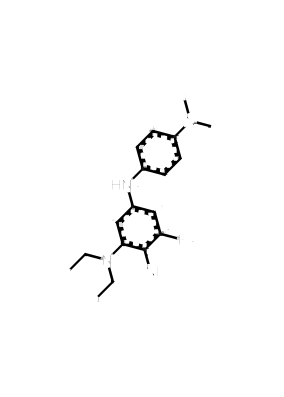 CCN(CC)c1cc(Nc2ccc(N(C)C)cc2)cc(F)c1N